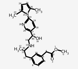 COC(=O)Cc1cccc(C[C@@H](C)NC[C@H](O)c2ccc(-n3c(C)ccc3C)nc2)c1